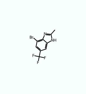 Cc1nc2c(Br)cc(C(F)(F)F)cc2[nH]1